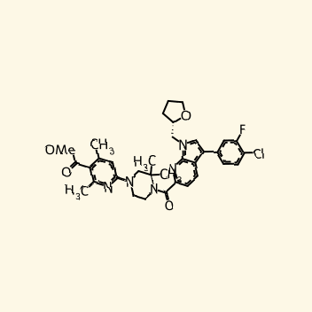 COC(=O)c1c(C)cc(N2CCN(C(=O)c3ccc4c(-c5ccc(Cl)c(F)c5)cn(C[C@@H]5CCCO5)c4n3)C(C)(C)C2)nc1C